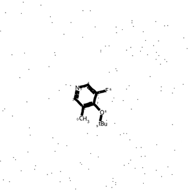 Cc1cncc(F)c1OC(C)(C)C